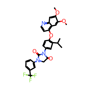 COc1cc2nccc(Oc3ccc(N4C(=O)CN(c5cccc(C(F)(F)F)c5)C4=O)cc3C(C)C)c2cc1OC